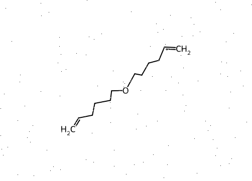 C=CCCCCOCCCCC=C